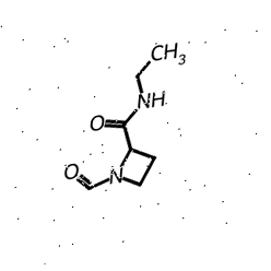 CCNC(=O)C1CCN1C=O